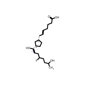 CC(O)CCC(F)C/C=C(/O)[C@H]1CC[C@@H](CC=CCCCC(=O)O)C1